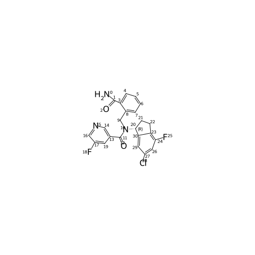 NC(=O)c1ccccc1CN(C(=O)c1cncc(F)c1)[C@@H]1CCc2c(F)cc(Cl)cc21